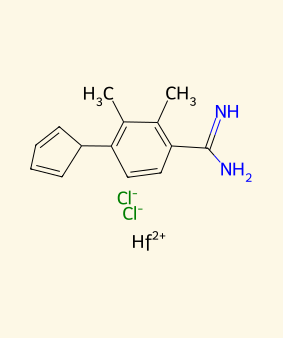 Cc1c(C(=N)N)ccc(C2C=CC=C2)c1C.[Cl-].[Cl-].[Hf+2]